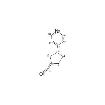 O=C=C1[CH]CC(c2ccncc2)C1